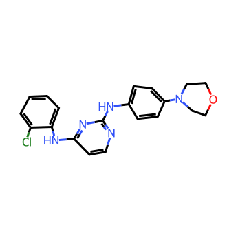 Clc1ccccc1Nc1ccnc(Nc2ccc(N3CCOCC3)cc2)n1